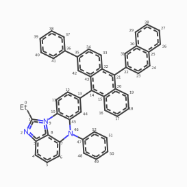 CCc1nc2cccc3c2n1-c1ccc(-c2c4ccccc4c(-c4ccc5ccccc5c4)c4ccc(-c5ccccc5)cc24)cc1N3c1ccccc1